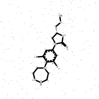 N#CSC[C@H]1CN(c2cc(F)c(N3CCNOCC3)c(F)c2)C(=O)O1